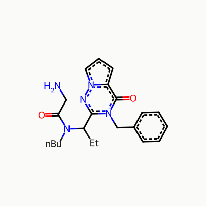 CCCCN(C(=O)CN)C(CC)c1nn2cccc2c(=O)n1Cc1ccccc1